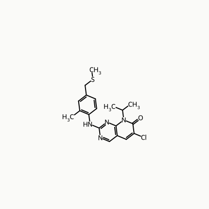 CSCc1ccc(Nc2ncc3cc(Cl)c(=O)n(C(C)C)c3n2)c(C)c1